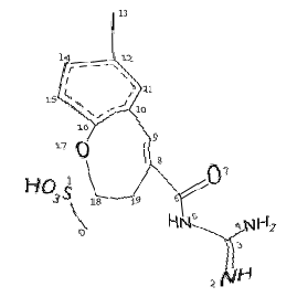 CS(=O)(=O)O.N=C(N)NC(=O)C1=Cc2cc(I)ccc2OCC1